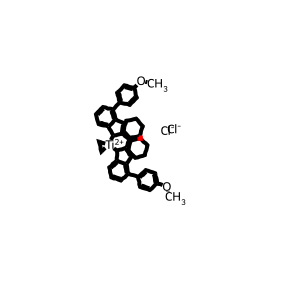 COc1ccc(-c2cccc3c2C=C(C2CCCCC2)[CH]3[Ti+2]2([CH]3C(C4CCCCC4)=Cc4c(-c5ccc(OC)cc5)cccc43)[CH2][CH2]2)cc1.[Cl-].[Cl-]